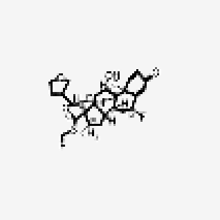 C[C@@H]1C[C@H]2[C@@H]3C[C@H](F)C4=CC(=O)C=C[C@]4(C)[C@@]3(F)[C@@H](O)C[C@]2(C)[C@@]1(OC(=O)C1CCOC1)C(=O)SCF